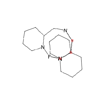 C1CCN2C(C1)CN1CC3CCCCN3P2N2CCCCC2C1